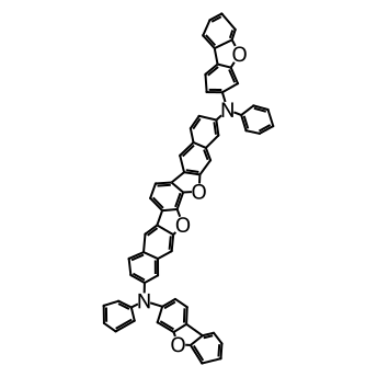 c1ccc(N(c2ccc3cc4c(cc3c2)oc2c4ccc3c4cc5ccc(N(c6ccccc6)c6ccc7c(c6)oc6ccccc67)cc5cc4oc32)c2ccc3c(c2)oc2ccccc23)cc1